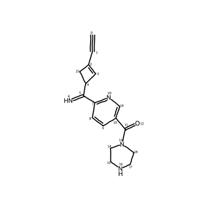 C#CC1=CC(C(=N)c2ccc(C(=O)N3CCNCC3)cn2)C1